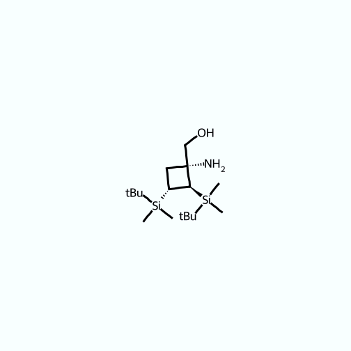 CC(C)(C)[Si](C)(C)[C@@H]1C[C@@](N)(CO)[C@H]1[Si](C)(C)C(C)(C)C